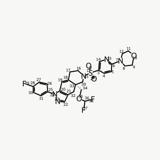 O=S(=O)(c1ccc(N2CCOCC2)nc1)N1CCC2=Cc3c(cnn3-c3ccc(F)cc3)C[C@]2(COC(F)F)C1